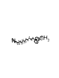 CCOC(=O)CCCCCCCCCCC#N